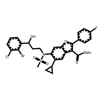 CNC(=O)c1c(-c2ccc(F)cc2)oc2cc(N(CCC(O)c3cccc(Cl)c3Br)S(C)(=O)=O)c(C3CC3)cc12